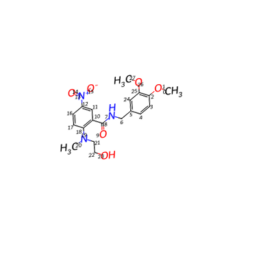 COc1ccc(CNC(=O)c2cc([N+](=O)[O-])ccc2N(C)CCO)cc1OC